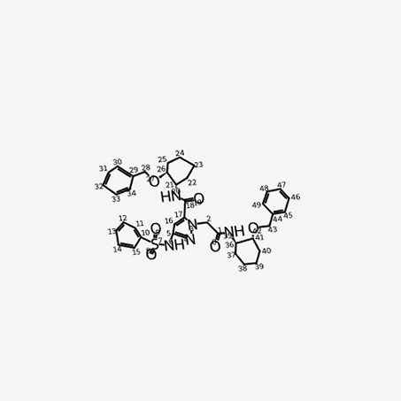 O=C(Cn1nc(NS(=O)(=O)c2ccccc2)cc1C(=O)N[C@H]1CCCC[C@@H]1OCc1ccccc1)N[C@@H]1CCCC[C@H]1OCc1ccccc1